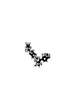 Cn1cnc2c(-c3ccc4cn[nH]c4c3)nc(N3CC4CN(C(=O)OC(C)(C)C)CC4C3)nc21